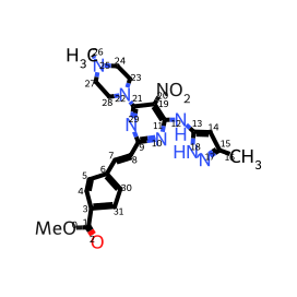 COC(=O)c1ccc(C=Cc2nc(Nc3cc(C)n[nH]3)c([N+](=O)[O-])c(N3CCN(C)CC3)n2)cc1